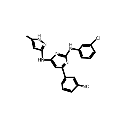 Cc1cc(Nc2cc(-c3cccc(N=O)c3)nc(Nc3cccc(Cl)c3)n2)n[nH]1